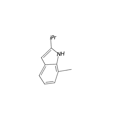 Cc1cccc2cc(C(C)C)[nH]c12